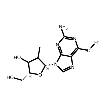 CCOc1nc(N)nc2c1ncn2[C@@H]1O[C@H](CO)C(O)C1C